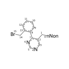 CCCCCCCCCCc1cncnc1-c1ccccc1CBr